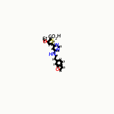 CCOc1cc(-c2cc(NCCc3ccc4ccoc4c3)ncn2)sc1C(=O)O